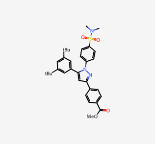 COC(=O)c1ccc(-c2cc(-c3cc(C(C)(C)C)cc(C(C)(C)C)c3)n(-c3ccc(S(=O)(=O)N(C)C)cc3)n2)cc1